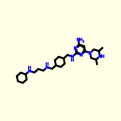 CC1CN(c2cc(N)nc(NCC3CCC(CNCCCNC4CCCCC4)CC3)n2)CC(C)N1